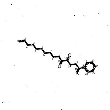 C=CCCCCCCCCC(=O)C(=O)CCC(=C)c1ccccc1